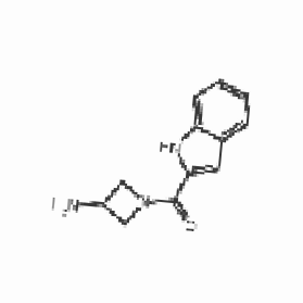 NC1CN(C(=O)c2cc3ccccc3[nH]2)C1